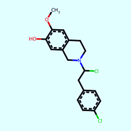 COc1cc2c(cc1O)CN(C(Cl)Cc1ccc(Cl)cc1)CC2